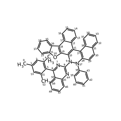 Cc1cc(C)c(-c2nc(N3c4c(c5ccccc5c5c4oc4ccccc45)-c4c(ccc5ccccc45)N3c3ccccc3)nc3ccccc23)c(C)c1